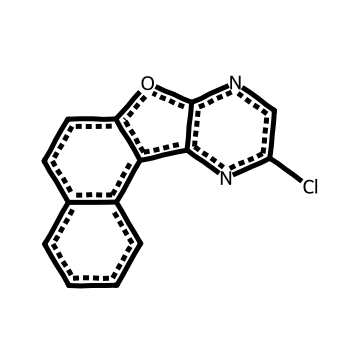 Clc1cnc2oc3ccc4ccccc4c3c2n1